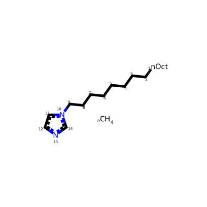 C.CCCCCCCCCCCCCCCCn1ccnc1